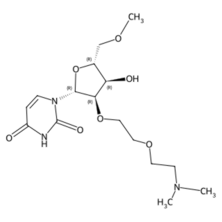 COC[C@H]1O[C@@H](n2ccc(=O)[nH]c2=O)[C@H](OCCOCCN(C)C)[C@@H]1O